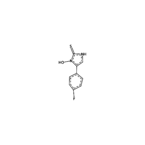 On1c(-c2ccc(F)cc2)c[nH]c1=S